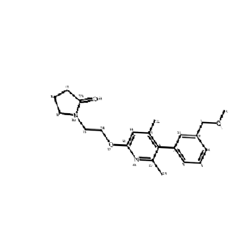 COCc1cccc(-c2c(C)cc(OCCN3CCCC3=O)nc2C)c1